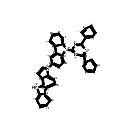 c1ccc(-c2nc(-c3ccccc3)nc(-n3c4ccccc4c4cc(-n5ccc6c7[nH]c8ccccc8c7ccc65)ccc43)n2)cc1